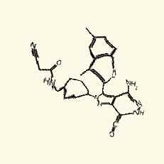 Cc1ccc2oc(-c3c4c(nn3C3CCC(NC(=O)CC#N)CC3)C(=C=O)NN=C4N)c(C)c2c1